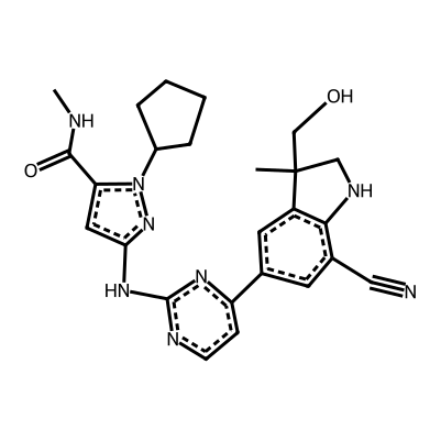 CNC(=O)c1cc(Nc2nccc(-c3cc(C#N)c4c(c3)C(C)(CO)CN4)n2)nn1C1CCCC1